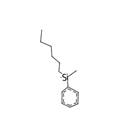 CCCCCC[Si](C)c1ccccc1